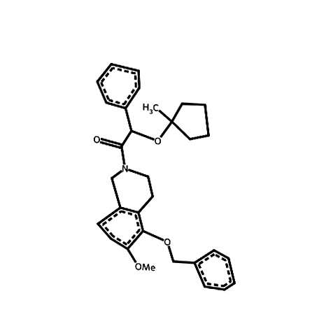 COc1ccc2c(c1OCc1ccccc1)CCN(C(=O)C(OC1(C)CCCC1)c1ccccc1)C2